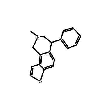 CN1Cc2c(ccc3occc23)C(c2ccccc2)C1